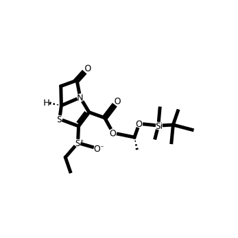 CC[S+]([O-])C1=C(C(=O)O[C@@H](C)O[Si](C)(C)C(C)(C)C)N2C(=O)C[C@@H]2S1